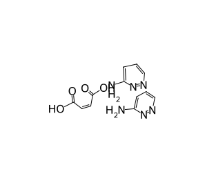 Nc1cccnn1.Nc1cccnn1.O=C(O)/C=C\C(=O)O